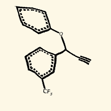 C#CC(Oc1cc[c]cc1)c1cccc(C(F)(F)F)c1